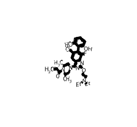 C=CC(=O)N1[C@H](C)CN(c2nc(OCCN(CC)CC)nc3c(F)c(-c4c(O)cccc4O)c(Cl)cc23)C[C@@H]1C